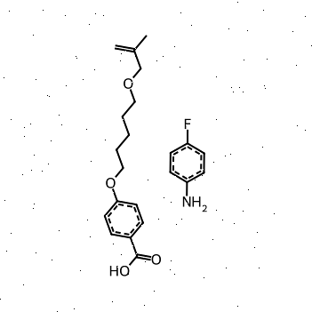 C=C(C)COCCCCCOc1ccc(C(=O)O)cc1.Nc1ccc(F)cc1